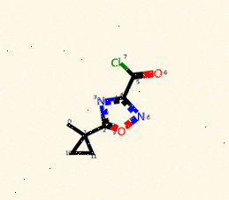 CC1(c2nc(C(=O)Cl)no2)CC1